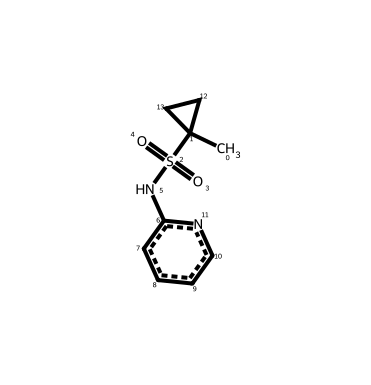 CC1(S(=O)(=O)Nc2ccccn2)CC1